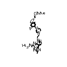 COCCOc1ccc(N2CCN(CCn3ncc4c3nc(N)n3nc(C)nc43)CC2)c(F)c1